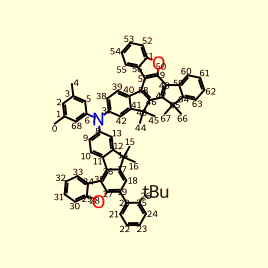 Cc1cc(C)cc(N(c2ccc3c(c2)C(C)(C)c2cc(-c4ccccc4C(C)(C)C)c4oc5ccccc5c4c2-3)c2ccc3c(c2)C(C)(C)c2c4c(c5oc6ccccc6c5c2-3)-c2ccccc2C4(C)C)c1